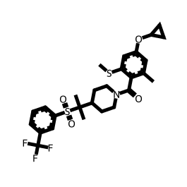 CSc1cc(OC2CC2)cc(C)c1C(=O)N1CCC(C(C)(C)S(=O)(=O)c2cccc(C(F)(F)F)c2)CC1